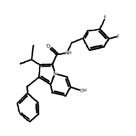 CC(C)c1c(Cc2ccccc2)c2ccc(O)cn2c1C(=O)NCc1ccc(F)c(F)c1